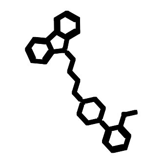 COc1ccccc1N1CCN(CCCCn2c3ccccc3c3ccccc32)CC1